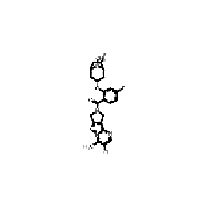 Cc1c(Cl)cnc2c3c(nn12)CN(C(=O)c1ccc(F)cc1O[C@@H]1CC2CC(F)C(C1)N2C)C3